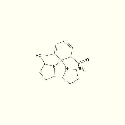 CC1=CC=CC(C(N)=O)C1(N1CCCC1)N1CCCC1O